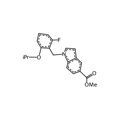 COC(=O)c1ccc2c(ccn2Cc2c(F)cccc2OC(C)C)c1